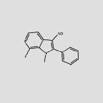 Cn1c(-c2ccccc2)c(N=O)c2cccc(F)c21